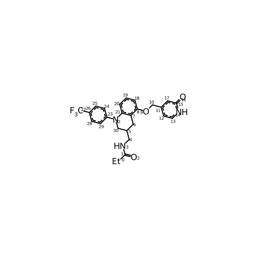 CCC(=O)NCC1Cc2c(OCc3cc[nH]c(=O)c3)cccc2N(c2ccc(C(F)(F)F)cc2)C1